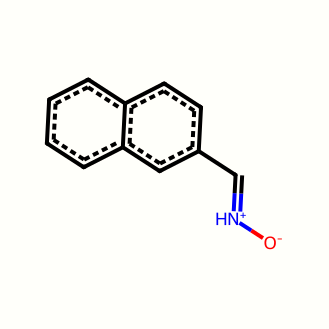 [O-][NH+]=Cc1ccc2ccccc2c1